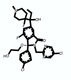 CCC(O)(c1cc(F)c2c(c1)C(=O)N(Cc1ncc(Cl)cn1)[C@@]2(OCCO)c1ccc(Cl)cc1)C1(F)CCN(C)CC1